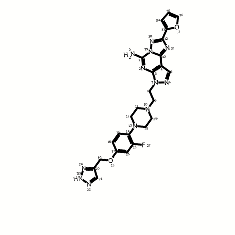 Nc1nc2c(cnn2CCN2CCN(c3ccc(OCc4cn[nH]n4)cc3F)CC2)c2nc(-c3ccco3)nn12